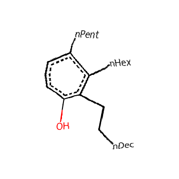 CCCCCCCCCCCCc1c(O)ccc(CCCCC)c1CCCCCC